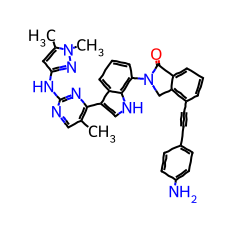 Cc1cnc(Nc2cc(C)n(C)n2)nc1-c1c[nH]c2c(N3Cc4c(C#Cc5ccc(N)cc5)cccc4C3=O)cccc12